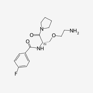 NCCOC[C@H](NC(=O)c1ccc(F)cc1)C(=O)N1CCCC1